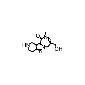 CN1N=C(CO)Cn2nc3c(c2C1=O)CNCC3